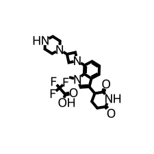 Cn1cc(C2CCC(=O)NC2=O)c2cccc(N3CC(N4CCNCC4)C3)c21.O=C(O)C(F)(F)F